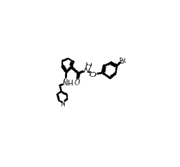 O=C(NOc1ccc(Br)cc1)c1ccccc1NCc1ccncc1